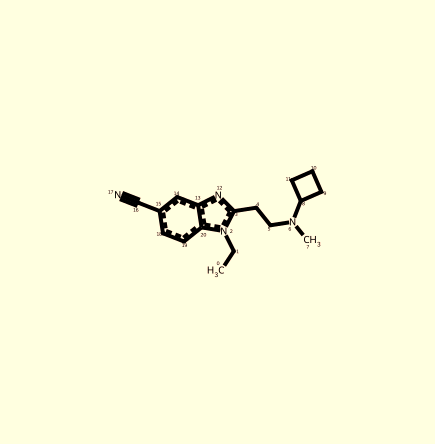 CCn1c(CCN(C)C2CCC2)nc2cc(C#N)ccc21